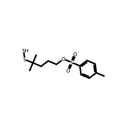 Cc1ccc(S(=O)(=O)OCCCC(C)(C)SS)cc1